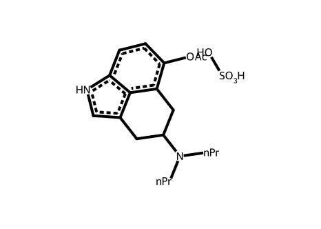 CCCN(CCC)C1Cc2c[nH]c3ccc(OC(C)=O)c(c23)C1.O=S(=O)(O)O